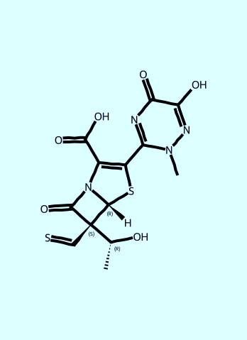 C[C@@H](O)[C@]1(C=S)C(=O)N2C(C(=O)O)=C(c3nc(=O)c(O)nn3C)S[C@@H]21